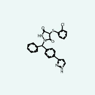 O=C1NN(C(c2ccccc2)c2ccc(-c3cc[nH]n3)cc2)C(=O)C1Sc1ccccc1Cl